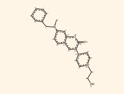 CN(Cc1ccccc1)c1ccc2cc(-c3cc[n+](CCO)cc3)c(=O)oc2c1